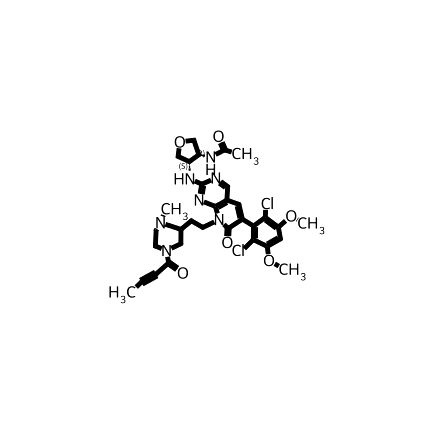 CC#CC(=O)N1CCN(C)C(CCn2c(=O)c(-c3c(Cl)c(OC)cc(OC)c3Cl)cc3cnc(N[C@@H]4COC[C@@H]4NC(C)=O)nc32)C1